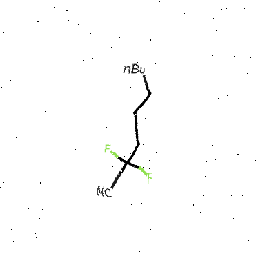 CCCCCCCC(F)(F)C#N